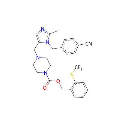 Cc1ncc(CN2CCN(C(=O)OCc3ccccc3SC(F)(F)F)CC2)n1Cc1ccc(C#N)cc1